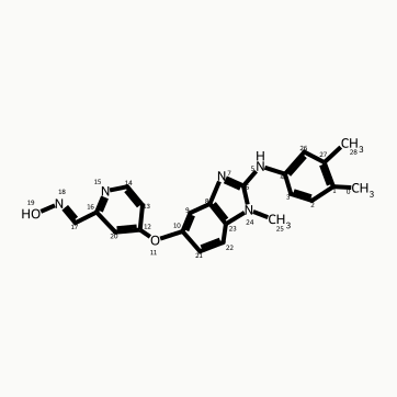 Cc1ccc(Nc2nc3cc(Oc4ccnc(C=NO)c4)ccc3n2C)cc1C